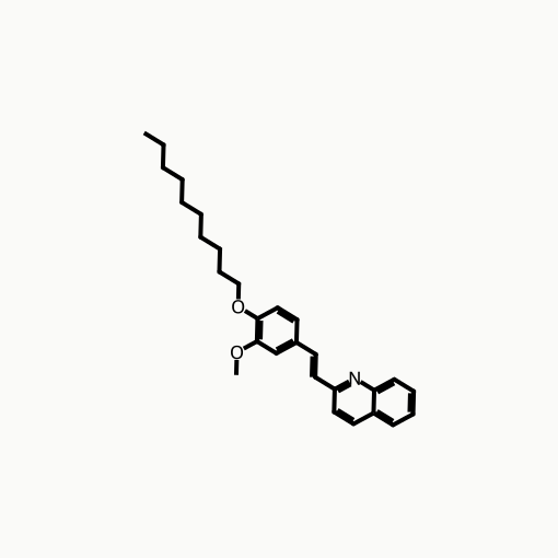 CCCCCCCCCCOc1ccc(C=Cc2ccc3ccccc3n2)cc1OC